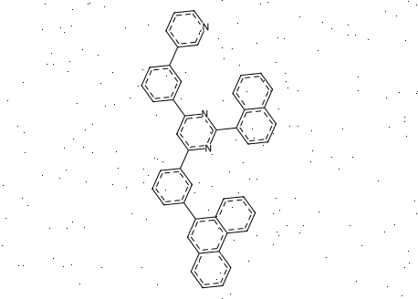 c1cncc(-c2cccc(-c3cc(-c4cccc(-c5cc6ccccc6c6ccccc56)c4)nc(-c4cccc5ccccc45)n3)c2)c1